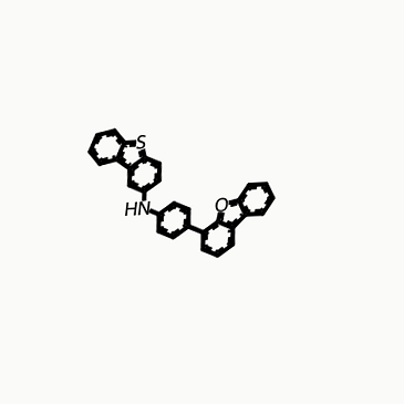 c1ccc2c(c1)oc1c(-c3ccc(Nc4ccc5sc6ccccc6c5c4)cc3)cccc12